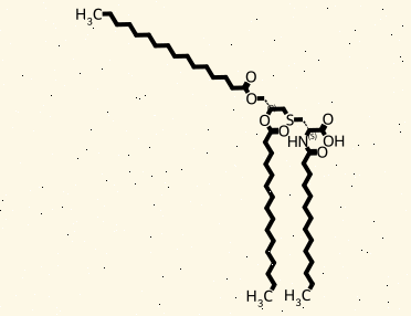 CCCCCCCCCCCCCCCC(=O)OC[C@H](CSC[C@@H](NC(=O)CCCCCCCCCCCCC)C(=O)O)OC(=O)CCCCCCCCCCCCCCC